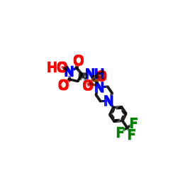 O=C1C[C@@H](NS(=O)(=O)N2CCN(c3ccc(C(F)(F)F)cc3)CC2)C(=O)N1O